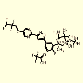 O=C(O)C(F)(F)F.[2H]C([2H])([2H])N=[S@@]1(=O)C[C@@](C)(c2cc(-c3cc(-c4ncc(OCC(F)(F)C(F)F)cn4)no3)ccc2F)N=C(N)C1(C)C